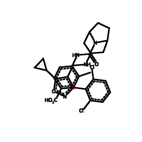 Cc1cc(C(=O)O)ccc1NC(=O)N1C2CCC1CC(NCc1c(-c3c(Cl)cccc3Cl)noc1C1CC1)C2